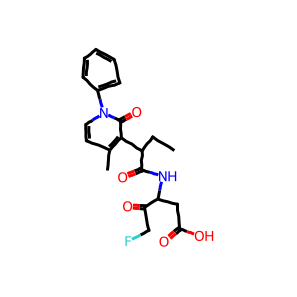 CCC(C(=O)NC(CC(=O)O)C(=O)CF)c1c(C)ccn(-c2ccccc2)c1=O